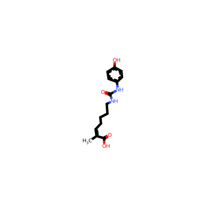 CC(=CCCCCNC(=O)Nc1ccc(O)cc1)C(=O)O